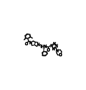 Cc1cccc(C)c1C(=O)N1CC2CN(CC[C@H](NC(=O)Cn3nnc(N4CCOCC4)n3)c3ccccc3)CC2C1